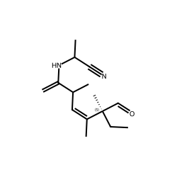 C=C(NC(C)C#N)C(C)C=C(C)[C@@](C)(C=O)CC